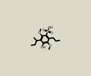 CCCc1c(OC)c(O)c(C(C)CC)c(OC)c1S(=O)(=O)O